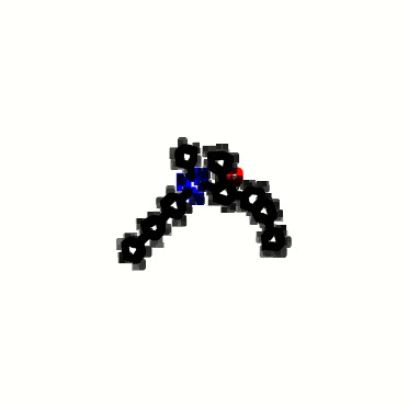 C1=CCC(c2nc(-c3ccc(-c4ccc(C5=CCCC=C5)cc4)cc3)nc(-c3ccc(C4=Cc5cc(-c6ccccc6)ccc5CC4)c4oc5ccccc5c34)n2)C=C1